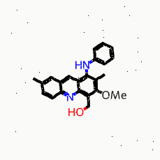 COc1c(C)c(Nc2ccccc2)c2cc3cc(C)ccc3nc2c1CO